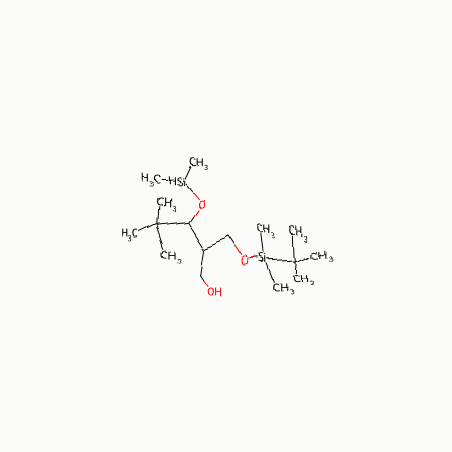 C[SiH](C)OC(C(CO)CO[Si](C)(C)C(C)(C)C)C(C)(C)C